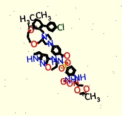 C[C@@H]1COC(CNc2ccc(S(=O)(=O)NC(=O)c3ccc(N4CCN5CC6=C(c7ccc(Cl)cc7)CC(C)(C)C[C@H]6OCCCOCC5C4)cc3N3CCCOc4nc5[nH]ccc5cc43)cc2[NH+]([O-])O)CO1